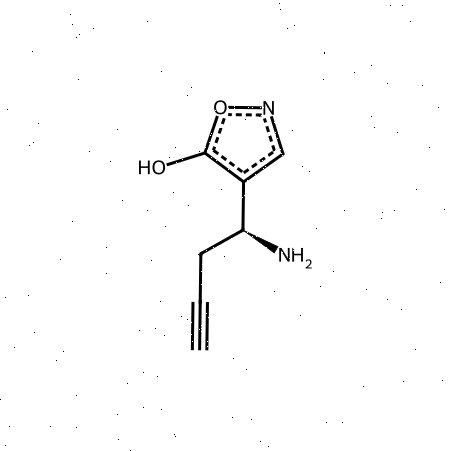 C#CC[C@H](N)c1cnoc1O